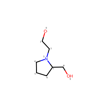 [O]CCN1CCCC1CO